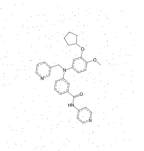 COc1ccc(N(Cc2cccnc2)c2cccc(C(=O)Nc3ccncc3)c2)cc1OC1CCCC1